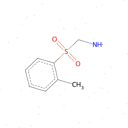 Cc1ccccc1S(=O)(=O)C[NH]